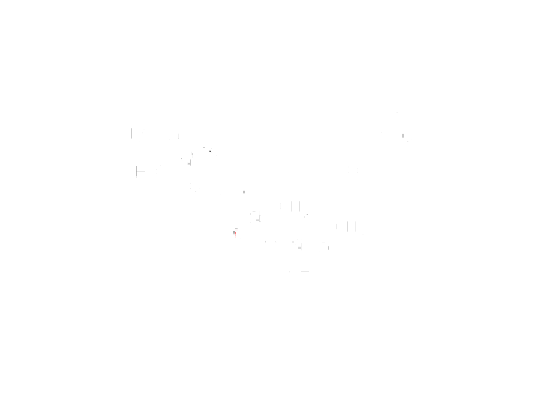 CO[Si](C)(C)O[Si](O[Si](C)(C)O[Si](C)(CCCOCC1CO1)OC)(c1ccccc1)c1ccccc1